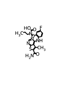 CCCN(Oc1cc(F)ccc1Nc1ncnc2sc(C(N)=O)c(C)c12)C(=O)O